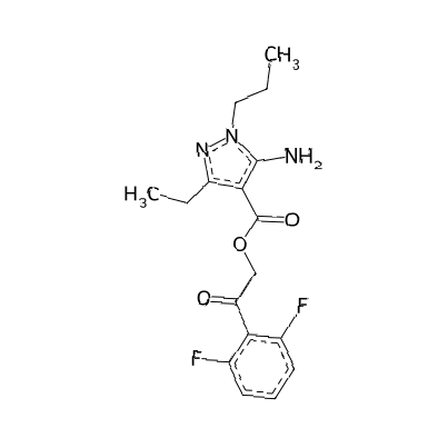 CCCn1nc(CC)c(C(=O)OCC(=O)c2c(F)cccc2F)c1N